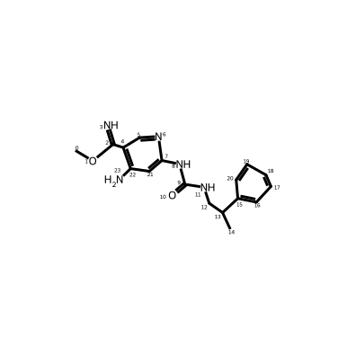 COC(=N)c1cnc(NC(=O)NCC(C)c2ccccc2)cc1N